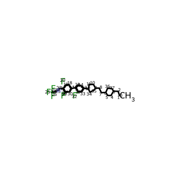 CCCC1CCC(CCC2CCC(c3ccc(-c4cc(F)c(/C=C/C(F)(F)F)c(F)c4)c(F)c3)CC2)CC1